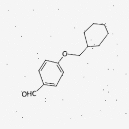 O=Cc1ccc(OCC2CCCCC2)cc1